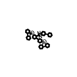 O=P1(c2ccc3c4ccc(P5(=O)c6ccccc6-c6ccccc65)cc4n4c5cc(-c6ccccc6)ccc5nc4c3c2)c2ccccc2-c2ccccc21